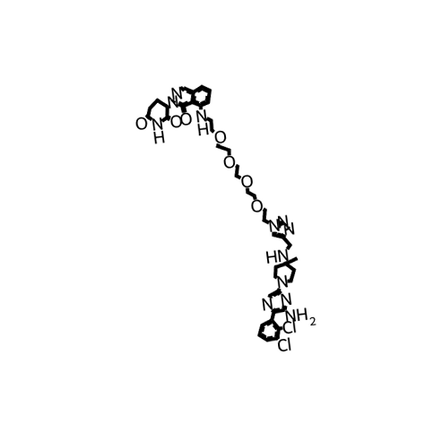 CC1(NCc2cn(CCOCCOCCOCCOCCNc3cccc4cnn(C5CCC(=O)NC5=O)c(=O)c34)nn2)CCN(c2cnc(-c3cccc(Cl)c3Cl)c(N)n2)CC1